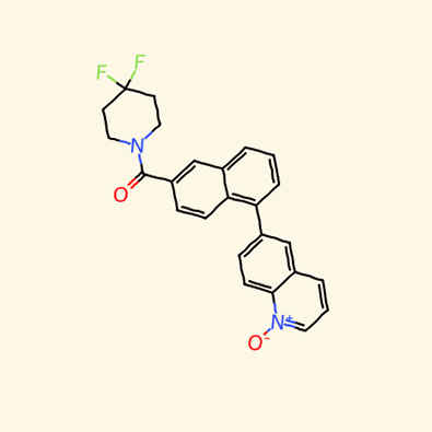 O=C(c1ccc2c(-c3ccc4c(ccc[n+]4[O-])c3)cccc2c1)N1CCC(F)(F)CC1